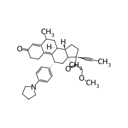 CC#C[C@]1(C(=O)COC)CC[C@H]2[C@@H]3CC(C)C4=CC(=O)CCC4=C3[C@@H](c3ccc(N4CCCC4)cc3)C[C@@]21C